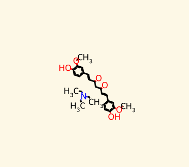 CCN(CC)CC.COc1cc(/C=C/C(=O)CC(=O)/C=C/c2ccc(O)c(OC)c2)ccc1O